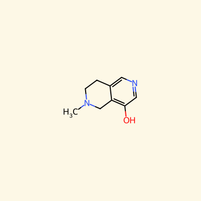 CN1CCc2cncc(O)c2C1